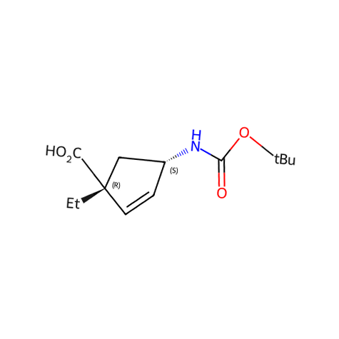 CC[C@]1(C(=O)O)C=C[C@@H](NC(=O)OC(C)(C)C)C1